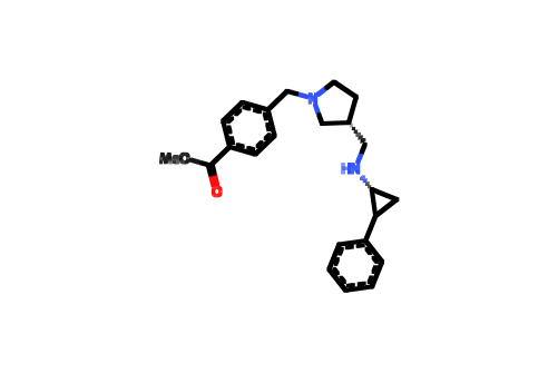 COC(=O)c1ccc(CN2CC[C@H](CN[C@@H]3CC3c3ccccc3)C2)cc1